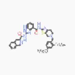 COc1ccc(CN2CCc3nc(NC(=O)c4cccc5[nH]c(NC(=O)c6cc7ccccc7cn6)nc45)sc3C2)c(OC)c1